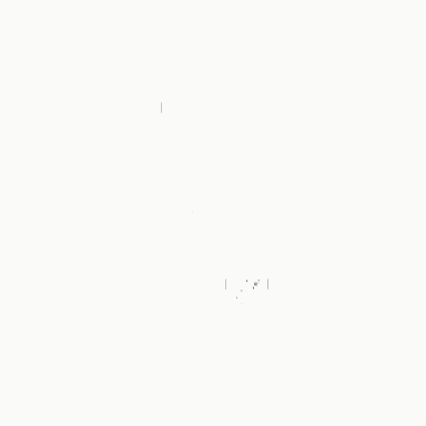 CCCCCCCCCCCCCCCCCCCCCCCC[N+](C)(C)CC.[Cl-]